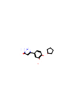 COc1cc(-c2cc(=O)[nH][nH]2)ccc1OC1CCCC1